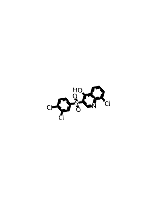 O=S(=O)(c1ccc(Cl)c(Cl)c1)c1cnc2c(Cl)cccc2c1O